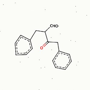 O=[C]C(Cc1ccccc1)C(=O)Cc1ccccc1